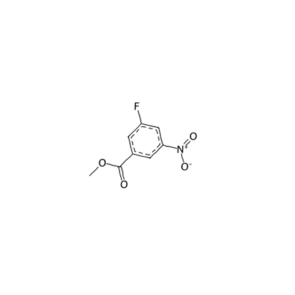 COC(=O)c1cc(F)cc([N+](=O)[O-])c1